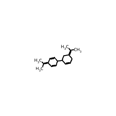 CC(C)=C1C=CC(C2C=CCC(=C(C)C)C2)C=C1